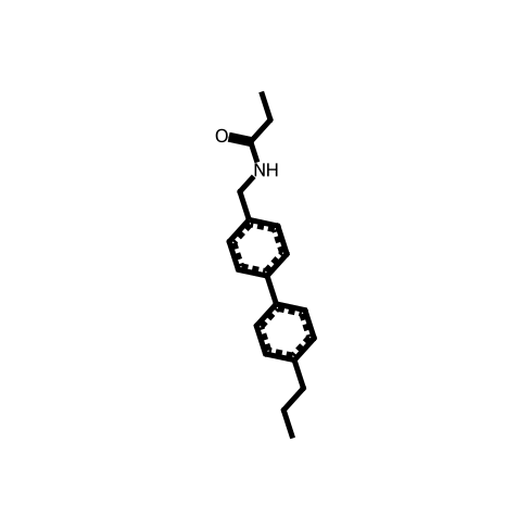 CCCc1ccc(-c2ccc(CNC(=O)CC)cc2)cc1